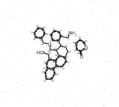 NCc1ccccc1C1CCc2ccc3c(c(CO)cc4ccccc43)c2C1COCc1ccccc1.O=c1cccco1